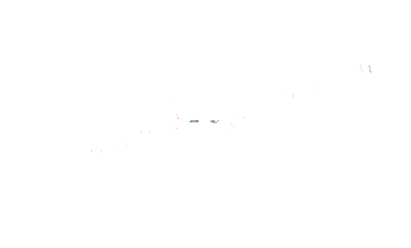 CCOCCOCCOCCOCCOC(=O)C#CC#CC(=O)OCCOCCOCCOCCOCC